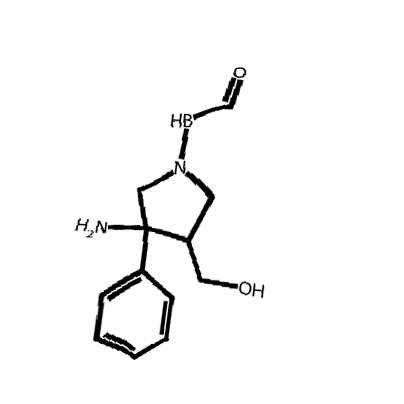 NC1(c2ccccc2)CN(BC=O)CC1CO